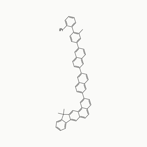 Cc1cc(-c2ccc3cc(-c4ccc5cc(-c6ccc7ccc8cc9c(cc8c7c6)C(C)(C)c6ccccc6-9)ccc5c4)ccc3c2)ccc1-c1ccccc1C(C)C